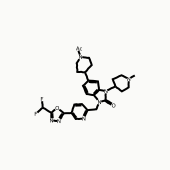 CC(=O)N1CCC(c2ccc3c(c2)n(C2CCN(C)CC2)c(=O)n3Cc2ccc(-c3nnc(C(F)F)o3)cn2)CC1